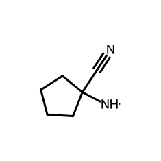 N#CC1([NH])CCCC1